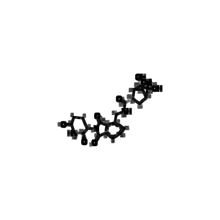 O=C1CCC(N2C(=O)c3cccc(CNC(=O)[C@H]4CC5C(O)[C@@H](O)C4[C@H]5O)c3C2=O)C(=O)N1